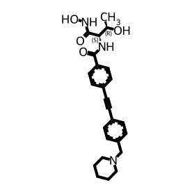 C[C@@H](O)[C@H](NC(=O)c1ccc(C#Cc2ccc(CN3CCCCC3)cc2)cc1)C(=O)NO